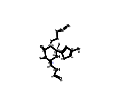 CN1C(=O)[C@H](CCN=[N+]=[N-])[C@@](C)(c2cc(Br)cs2)N/C1=N\BC=O